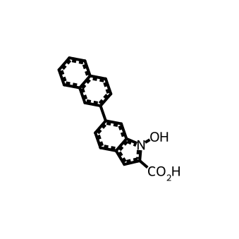 O=C(O)c1cc2ccc(-c3ccc4ccccc4c3)cc2n1O